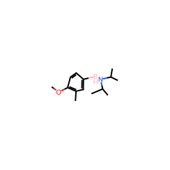 COc1ccc(BN(C(C)C)C(C)C)cc1C